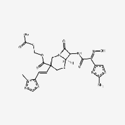 Cc1ncsc1C=CC1(C(=O)OCOC(=O)C(C)(C)C)CS[C@@H]2C(NC(=O)C(=NO)c3csc(N)n3)C(=O)N2C1